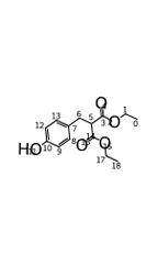 CCOC(=O)C(Cc1ccc(O)cc1)C(=O)OCC